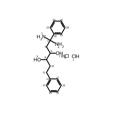 Cl.Cl.NC(N)(CC(O)C(O)CCc1ccccc1)c1ccccc1